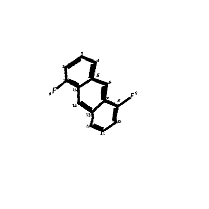 Fc1[c]ccc2cc3c(F)[c]ccc3cc12